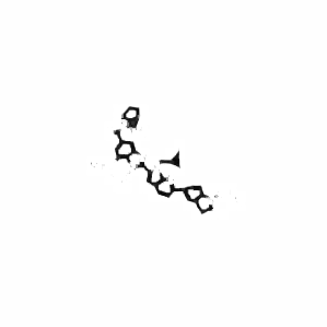 COc1cc(C(=O)N2CC3CCC2C3N)cc2nc(-c3cc4ccc(-c5ccc6c(c5)CC(=O)N6C)nc4n3CC3CC3)n(C)c12